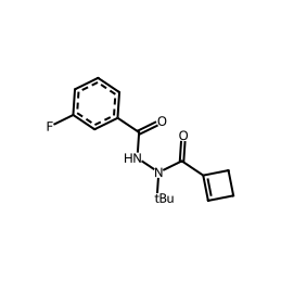 CC(C)(C)N(NC(=O)c1cccc(F)c1)C(=O)C1=CCC1